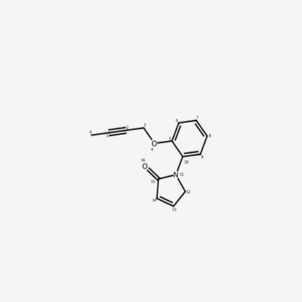 CC#CCOc1ccccc1N1CC=CC1=O